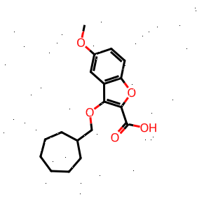 COc1ccc2oc(C(=O)O)c(OCC3CCCCCC3)c2c1